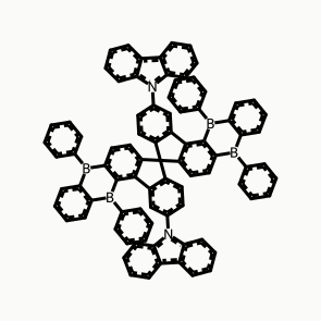 c1ccc(B2c3ccccc3B(c3ccccc3)c3c2ccc2c3-c3cc(-n4c5ccccc5c5ccccc54)ccc3C23c2ccc(-n4c5ccccc5c5ccccc54)cc2-c2c3ccc3c2B(c2ccccc2)c2ccccc2B3c2ccccc2)cc1